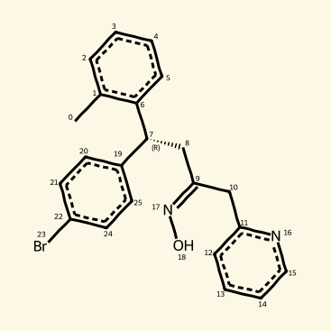 Cc1ccccc1[C@H](CC(Cc1ccccn1)=NO)c1ccc(Br)cc1